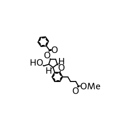 COC(=O)CCCc1cccc2c1O[C@@H]1CC(OC(=O)c3ccccc3)C(CO)[C@H]21